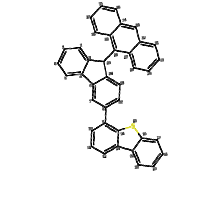 c1ccc2c(c1)-c1cc(-c3cccc4c3sc3ccccc34)ccc1C2c1c2ccccc2cc2ccccc12